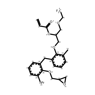 C=CC(=O)OC(COCC(F)(F)F)COc1c(C)cccc1Cc1cccc(CCC)c1OCC1CO1